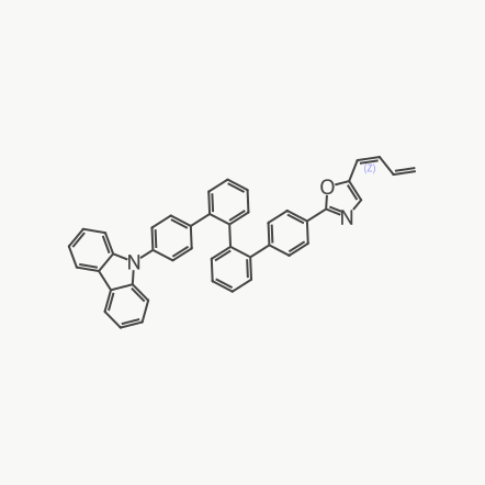 C=C/C=C\c1cnc(-c2ccc(-c3ccccc3-c3ccccc3-c3ccc(-n4c5ccccc5c5ccccc54)cc3)cc2)o1